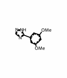 COc1cc(OC)cc(-c2ncn[nH]2)c1